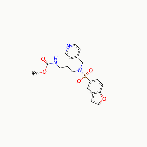 CC(C)OC(=O)NCCCN(Cc1ccncc1)S(=O)(=O)c1ccc2occc2c1